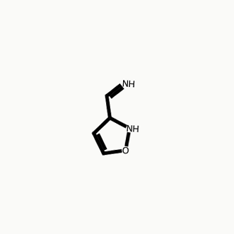 N=CC1C=CON1